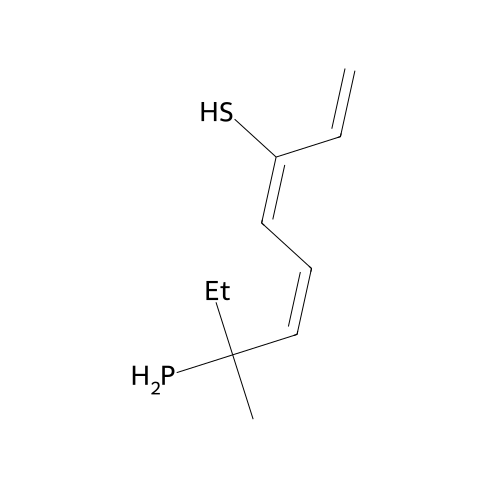 C=C/C(S)=C\C=C/C(C)(P)CC